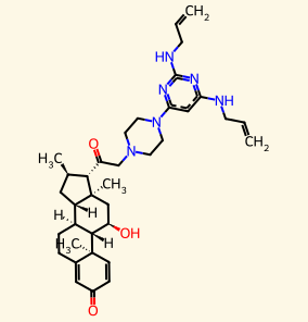 C=CCNc1cc(N2CCN(CC(=O)[C@H]3[C@H](C)C[C@H]4[C@@H]5CCC6=CC(=O)C=C[C@]6(C)[C@H]5[C@H](O)C[C@@]43C)CC2)nc(NCC=C)n1